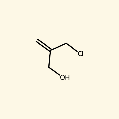 C=C(CO)CCl